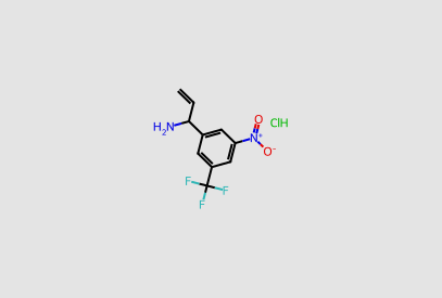 C=CC(N)c1cc([N+](=O)[O-])cc(C(F)(F)F)c1.Cl